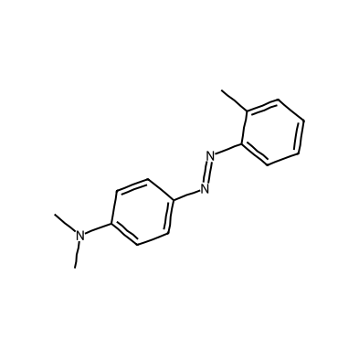 Cc1ccccc1/N=N/c1ccc(N(C)C)cc1